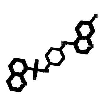 O=S(=O)(NC1CCC(Nc2ccnc3cc(Cl)ccc23)CC1)c1cccc2cccnc12